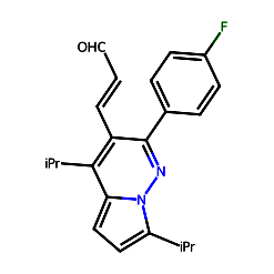 CC(C)c1c(C=CC=O)c(-c2ccc(F)cc2)nn2c(C(C)C)ccc12